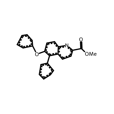 COC(=O)c1ccc2c(-c3ccccc3)c(Oc3ccccc3)ccc2n1